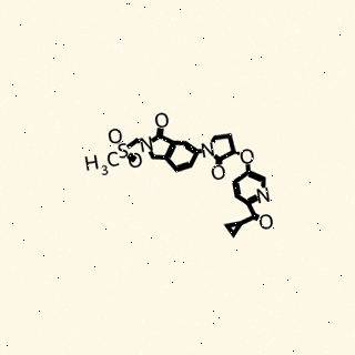 CS(=O)(=O)CN1Cc2ccc(N3CC[C@@H](Oc4ccc(C(=O)C5CC5)nc4)C3=O)cc2C1=O